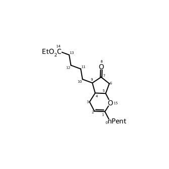 CCCCCC1=CCC2C(CC(=O)C2CCCCC(=O)OCC)O1